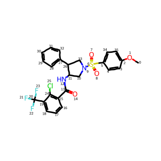 COc1ccc(S(=O)(=O)N2CC(NC(=O)c3cccc(C(F)(F)F)c3Cl)C(c3ccccc3)C2)cc1